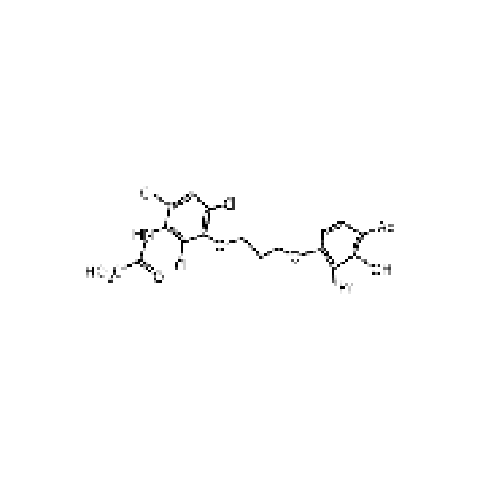 CCCc1c(OCCCOc2c(Cl)cc(Cl)c(NC(=O)C(=O)O)c2Cl)ccc(C(C)=O)c1O